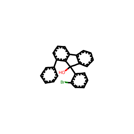 OC1(c2ccccc2Br)c2ccccc2-c2cccc(-c3ccccc3)c21